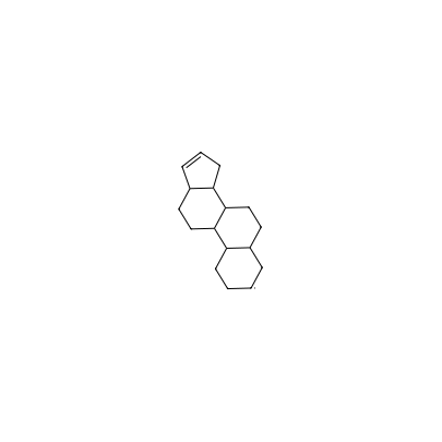 [CH]1CCC2C(C1)CCC1C3CC=CC3CCC21